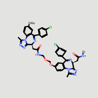 CCNC(=O)C[C@@H]1N=C(c2ccc(Cl)cc2)c2cc(OCOCNC(=O)C[C@@H]3N=C(c4ccc(Cl)cc4)c4cc(OC)ccc4-n4c(C)nnc43)ccc2-n2c(C)nnc21